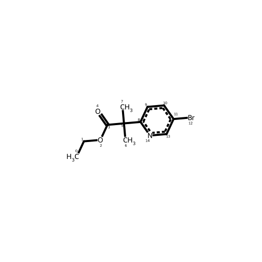 CCOC(=O)C(C)(C)c1ccc(Br)cn1